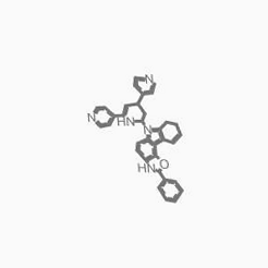 C1=Cc2c(n(C3CC(c4ccncc4)C=C(c4ccncc4)N3)c3ccc4c(c23)OC(c2ccccc2)N4)CC1